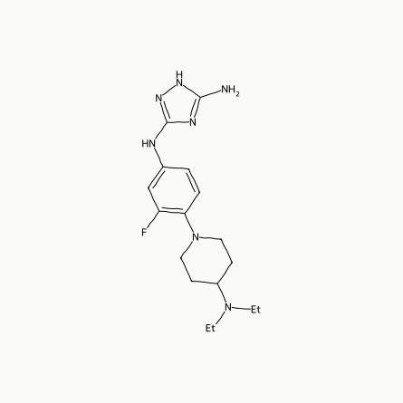 CCN(CC)C1CCN(c2ccc(Nc3n[nH]c(N)n3)cc2F)CC1